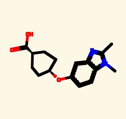 Cc1nc2cc(O[C@H]3CC[C@@H](C(=O)O)CC3)ccc2n1C